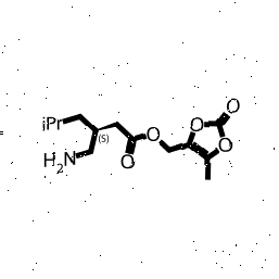 Cc1oc(=O)oc1COC(=O)C[C@@H](CN)CC(C)C